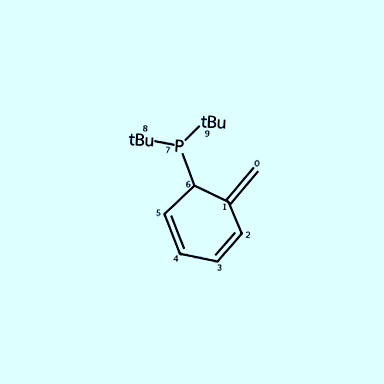 C=C1C=CC=CC1P(C(C)(C)C)C(C)(C)C